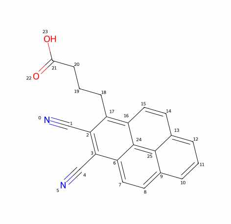 N#Cc1c(C#N)c2ccc3cccc4ccc(c1CCCC(=O)O)c2c34